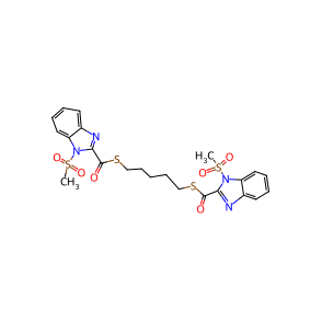 CS(=O)(=O)n1c(C(=O)SCCCCCSC(=O)c2nc3ccccc3n2S(C)(=O)=O)nc2ccccc21